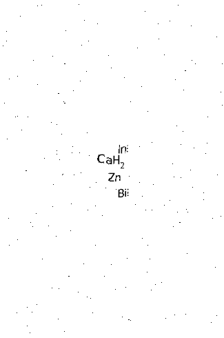 [Bi].[CaH2].[In].[Zn]